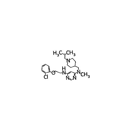 C[C](C)CN1CCC(CN(C)c2cc(NCCOc3ccccc3Cl)ncn2)CC1